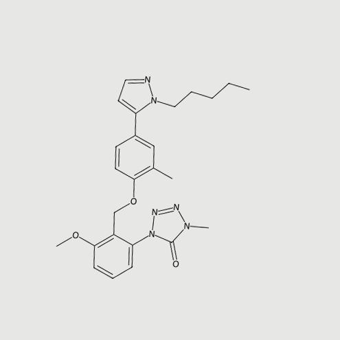 CCCCCn1nccc1-c1ccc(OCc2c(OC)cccc2-n2nnn(C)c2=O)c(C)c1